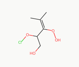 CC(C)=C(OO)C(CO)OCl